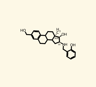 C[C@@]12CCC3c4ccc(CO)cc4CCC3C1C[C@H](NCc1ccccc1O)[C@@H]2O